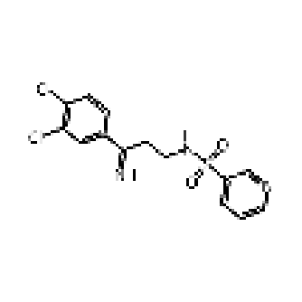 N=C(CCNS(=O)(=O)c1cccnc1)c1ccc(Cl)c(Cl)c1